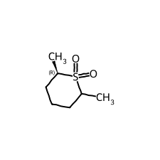 CC1CCC[C@@H](C)S1(=O)=O